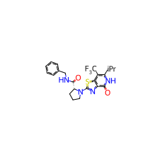 CC(C)c1[nH]c(=O)c2nc(N3CCC[C@@H]3C(=O)NCc3ccccc3)sc2c1C(F)(F)F